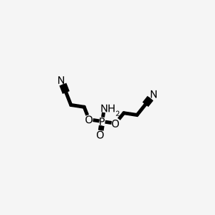 N#CCCOP(N)(=O)OCCC#N